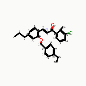 CCCc1ccc(/C=C/C(=O)c2cccc(Cl)c2C)c(OCc2ccc(CC)cc2)c1